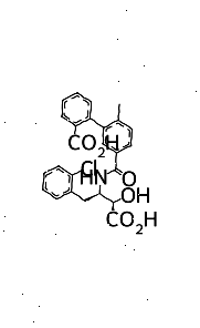 Cc1ccc(C(=O)N[C@H](Cc2ccccc2Cl)[C@@H](O)C(=O)O)cc1-c1ccccc1C(=O)O